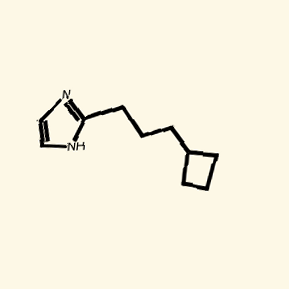 [c]1c[nH]c(CCCC2CCC2)n1